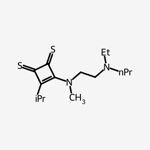 CCCN(CC)CCN(C)c1c(C(C)C)c(=S)c1=S